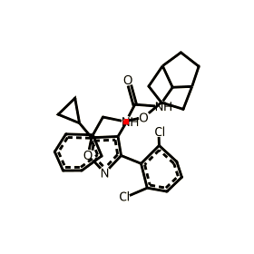 O=C(NCc1ccccc1)NC1C2CCC1CC(OCc1c(-c3c(Cl)cccc3Cl)noc1C1CC1)C2